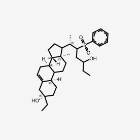 CCC(O)CC([C@@H](C)C1CC[C@H]2[C@@H]3CC=C4C[C@](O)(CC)CC[C@@H]4C3CC[C@]12C)S(=O)(=O)c1ccccc1